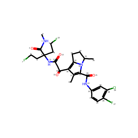 CNC(=O)C(CCF)(CCF)NC(=O)C(=O)c1c(C)c(C(=O)Nc2ccc(F)c(Cl)c2)n2c1CCC2C